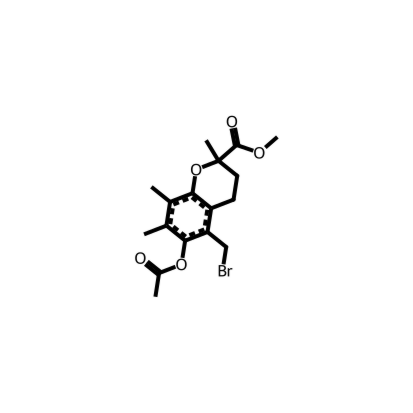 COC(=O)C1(C)CCc2c(CBr)c(OC(C)=O)c(C)c(C)c2O1